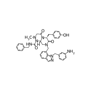 CN1CC(=O)N2[C@@H](Cc3ccc(O)cc3)C(=O)N(Cc3cccc4cnn(Cc5cccc(N)c5)c34)C[C@@H]2N1C(=O)NCc1ccccc1